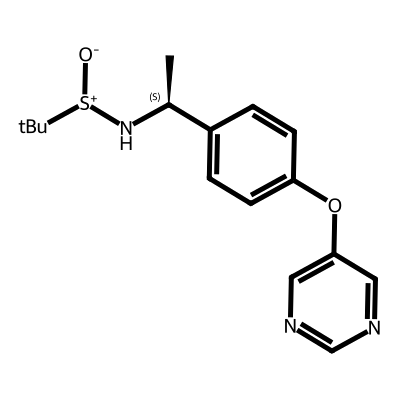 C[C@H](N[S+]([O-])C(C)(C)C)c1ccc(Oc2cncnc2)cc1